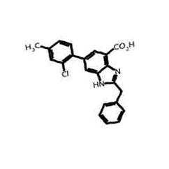 Cc1ccc(-c2cc(C(=O)O)c3nc(Cc4ccccc4)[nH]c3c2)c(Cl)c1